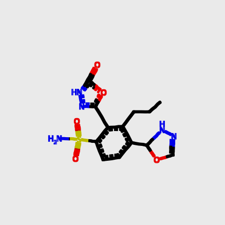 CCCc1c(C2NN=CO2)ccc(S(N)(=O)=O)c1-c1n[nH]c(=O)o1